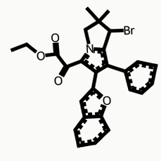 CCOC(=O)C(=O)c1c(-c2cc3ccccc3o2)c(-c2ccccc2)c2n1CC(C)(C)C2Br